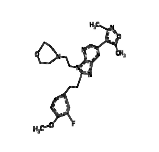 COc1ccc(CCc2nc3cc(-c4c(C)noc4C)cnc3n2CCN2CCOCC2)cc1F